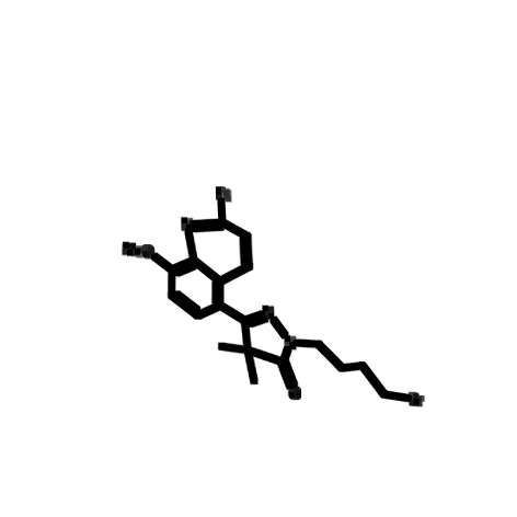 CCc1ccc2c(C3=NN(CCCCBr)C(=O)C3(C)C)ccc(OC)c2n1